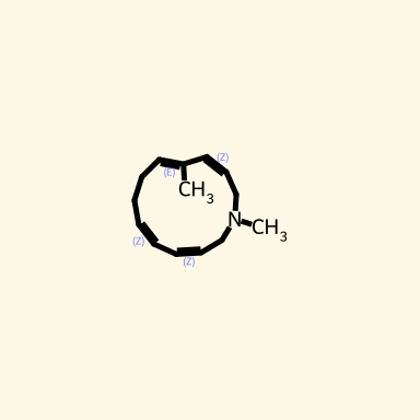 CC1=C\CC/C=C\C=C/CN(C)C/C=C\1